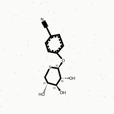 N#Cc1ccc(O[C@@H]2SC[C@@H](O)[C@H](O)[C@H]2O)cc1